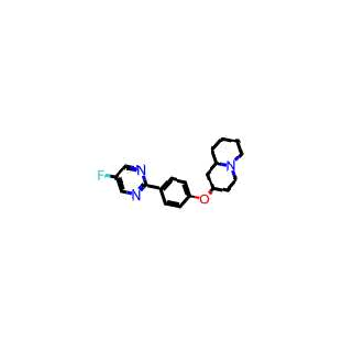 Fc1cnc(-c2ccc(OC3CCN4CCCCC4C3)cc2)nc1